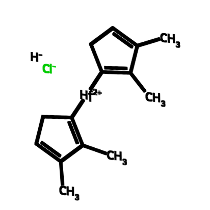 CC1=CC[C]([Hf+2][C]2=C(C)C(C)=CC2)=C1C.[Cl-].[H-]